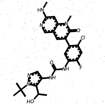 CNc1cc2c(cn1)cc(-c1cc(NC(=O)Nc3cnn(C(C)(C)C)c3C(C)O)c(F)cc1Cl)c(=O)n2C